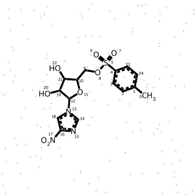 Cc1ccc(S(=O)(=O)OCC2OC(n3cnc([N+](=O)[O-])c3)C(O)C2O)cc1